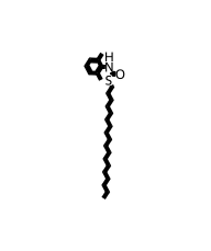 CCCCCCCCCCCCCCCCCCSC(=O)Nc1c(C)cccc1C